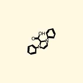 O=C(O)C1N(c2ccccc2)C=CN1c1ccccc1